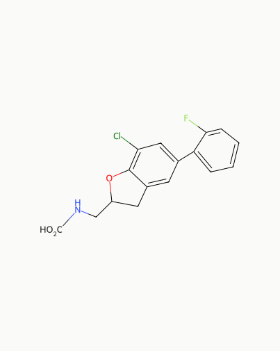 O=C(O)NCC1Cc2cc(-c3ccccc3F)cc(Cl)c2O1